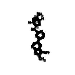 CC(C)c1c2cc(-c3ccnc(N[C@H]4C[C@H]5C[C@H]4C[C@H]5N)n3)cnc2nn1C